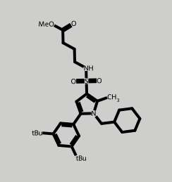 COC(=O)CCCNS(=O)(=O)c1cc(-c2cc(C(C)(C)C)cc(C(C)(C)C)c2)n(CC2CCCCC2)c1C